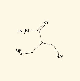 NC(=O)C(CS)CS